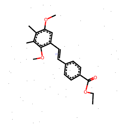 CCOC(=O)c1ccc(/C=C/c2cc(OC)c(C)c(C)c2OC)cc1